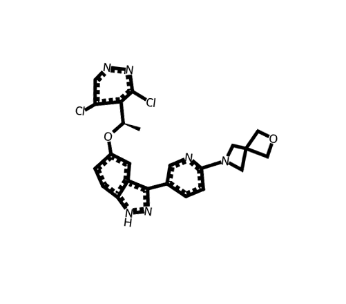 C[C@@H](Oc1ccc2[nH]nc(-c3ccc(N4CC5(COC5)C4)nc3)c2c1)c1c(Cl)cnnc1Cl